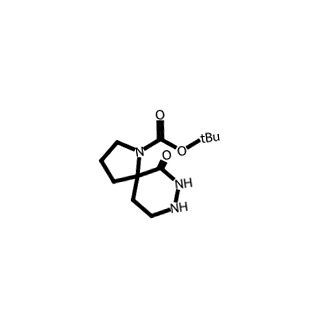 CC(C)(C)OC(=O)N1CCCC12CCNNC2=O